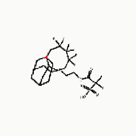 O=C(OCCOC12CC3CC(C1)C1(OCC(F)(F)C(F)(F)C(F)(F)CO1)C(C3)C2)C(F)(F)S(=O)(=O)O